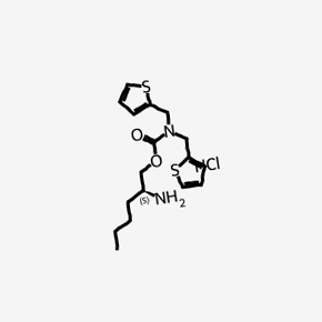 CCCC[C@H](N)COC(=O)N(Cc1cccs1)Cc1cccs1.Cl